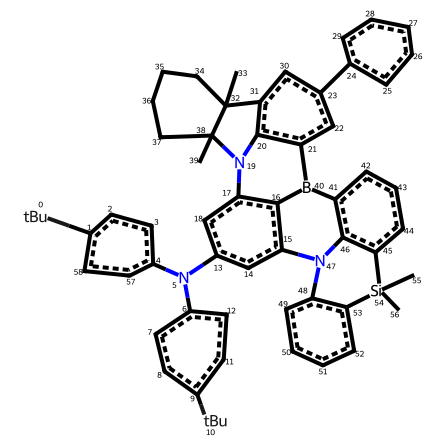 CC(C)(C)c1ccc(N(c2ccc(C(C)(C)C)cc2)c2cc3c4c(c2)N2c5c(cc(-c6ccccc6)cc5C5(C)CCCCC25C)B4c2cccc4c2N3c2ccccc2[Si]4(C)C)cc1